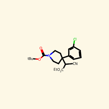 CCOC(=O)C(C#N)C1(c2cccc(Cl)c2)CCN(C(=O)OC(C)(C)C)CC1